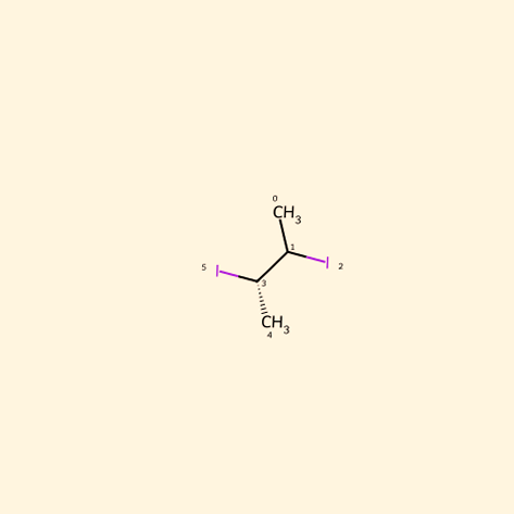 CC(I)[C@H](C)I